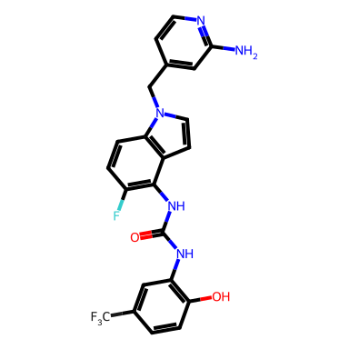 Nc1cc(Cn2ccc3c(NC(=O)Nc4cc(C(F)(F)F)ccc4O)c(F)ccc32)ccn1